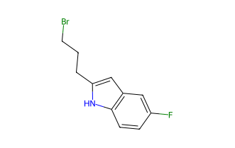 Fc1ccc2[nH]c(CCCBr)cc2c1